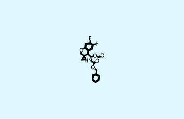 O=CO[C@@H](NC(=O)OCc1ccccc1)C1c2cc(F)c(F)cc2OCC12CC2